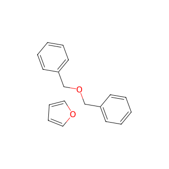 c1ccc(COCc2ccccc2)cc1.c1ccoc1